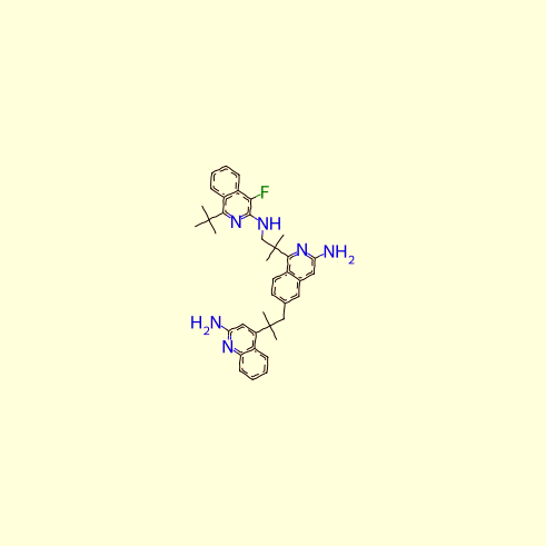 CC(C)(C)c1nc(NCC(C)(C)c2nc(N)cc3cc(CC(C)(C)c4cc(N)nc5ccccc45)ccc23)c(F)c2ccccc12